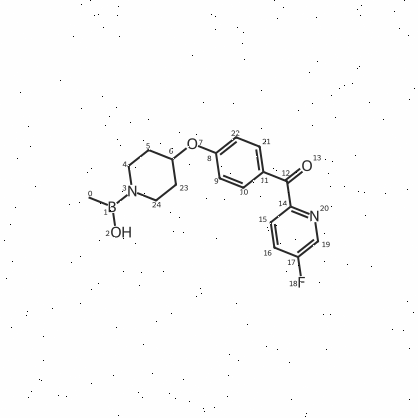 CB(O)N1CCC(Oc2ccc(C(=O)c3ccc(F)cn3)cc2)CC1